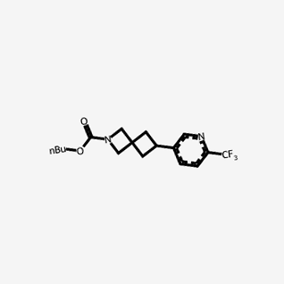 CCCCOC(=O)N1CC2(CC(c3ccc(C(F)(F)F)nc3)C2)C1